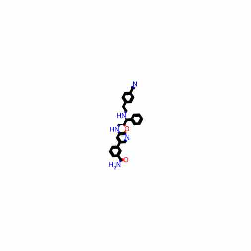 N#Cc1ccc(CCN[C@H](c2ccccc2)[C@@H]2CNc3cc(-c4cccc(C(N)=O)c4)cnc3O2)cc1